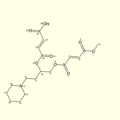 COC(=O)/C=C/C(=O)OCC(CCN1CCCCC1)OC(=O)/C=C/C(=O)O